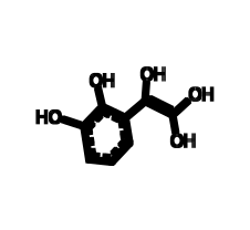 OC(O)=C(O)c1cccc(O)c1O